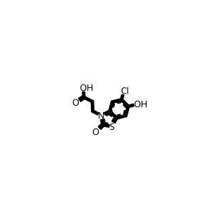 O=C(O)CCn1c(=O)sc2cc(O)c(Cl)cc21